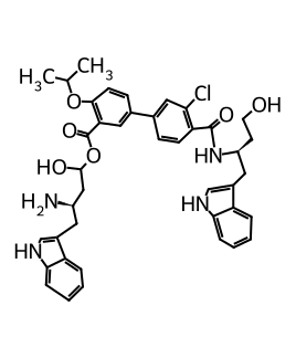 CC(C)Oc1ccc(-c2ccc(C(=O)N[C@@H](CCO)Cc3c[nH]c4ccccc34)c(Cl)c2)cc1C(=O)OC(O)C[C@H](N)Cc1c[nH]c2ccccc12